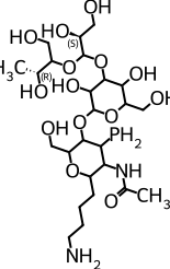 CC(=O)NC1C(CCCCN)OC(CO)C(OC2OC(CO)C(O)C(OC(OC(CO)[C@@H](C)O)[C@@H](O)CO)C2O)C1P